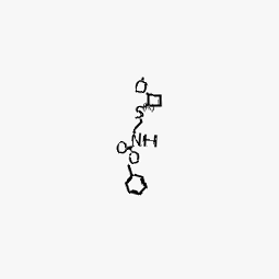 COC1CC[C@H]1SCCNC(=O)OCc1ccccc1